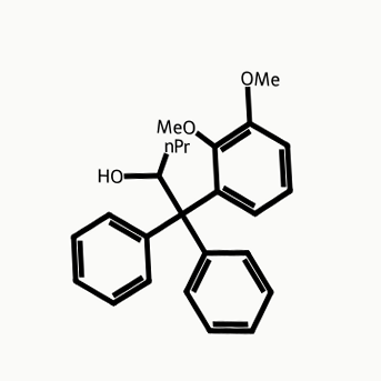 CCCC(O)C(c1ccccc1)(c1ccccc1)c1cccc(OC)c1OC